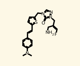 CN(C)c1ccc(/C=C/c2ccc(Cn3cnn(C/C(=C/F)CN)c3=O)s2)cc1